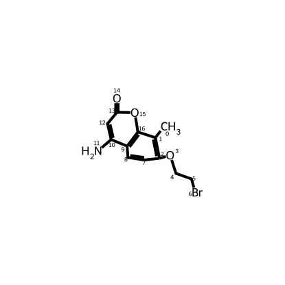 Cc1c(OCCBr)ccc2c(N)cc(=O)oc12